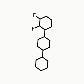 FC1CCCC(C2CCC(C3CCCCC3)CC2)C1F